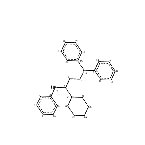 c1ccc(PC(CCP(c2ccccc2)c2ccccc2)C2CCCCC2)cc1